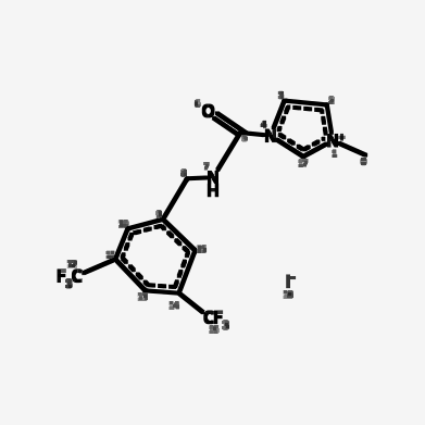 C[n+]1ccn(C(=O)NCc2cc(C(F)(F)F)cc(C(F)(F)F)c2)c1.[I-]